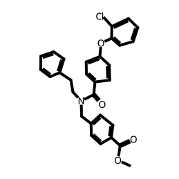 COC(=O)c1ccc(CN(CCc2ccccc2)C(=O)c2ccc(Oc3ccccc3Cl)cc2)cc1